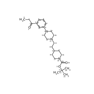 CCC(=O)c1cccc(N2CCN(CCC3CCN(C(=O)OC(C)(C)C)CC3)CC2)c1